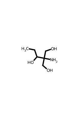 CCC(O)C(N)(CO)CO